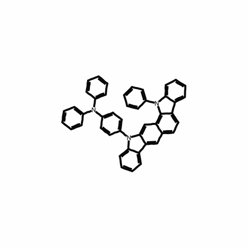 c1ccc(N(c2ccccc2)c2ccc(-n3c4ccccc4c4cc5ccc6c7ccccc7n(-c7ccccc7)c6c5cc43)cc2)cc1